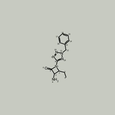 CCC1C(N)C(=O)N1c1nnn(Cc2ccccc2)n1